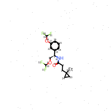 CCC1(CCC(=O)N[C@@H](COC(F)F)c2cccc(OC(F)F)c2)CC1